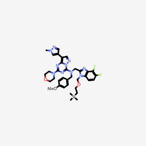 COc1ccc(CN(Cc2nc3c(F)c(F)ccc3n2COCC[Si](C)(C)C)c2nc(N3CCOCC3)nc3c(-c4cnn(C)c4)cnn23)cc1